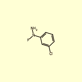 NN(F)c1cccc(Cl)c1